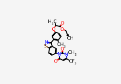 C#CCOC(=O)C(C)Oc1ccc(C)c(-c2nsc3ccc(-n4c(=O)cc(C(F)(F)F)n(C)c4=O)cc23)c1